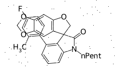 CCCCCN1C(=O)C2(COc3cc4c(cc32)OCO4)c2c(-c3ccc(F)cc3C)cccc21